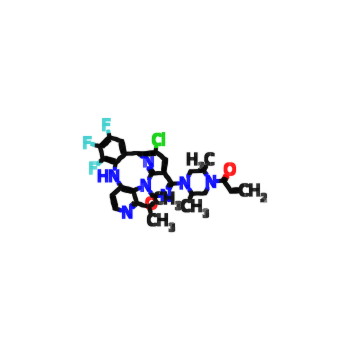 C=CC(=O)N1CC(C)N(c2nc(=O)n3c4nc(c(Cl)cc24)c2cc(F)c(F)c(F)c2[nH]c2ccnc(C(C)C)c23)CC1C